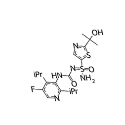 CC(C)c1ncc(F)c(C(C)C)c1NC(=O)N=[S@](N)(=O)c1cnc(C(C)(C)O)s1